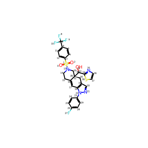 O=S(=O)(c1ccc(C(F)(F)F)cc1)N1CCC2=Cc3c(cnn3-c3ccc(F)cc3)C[C@]2([C@@H](O)c2nccs2)C1